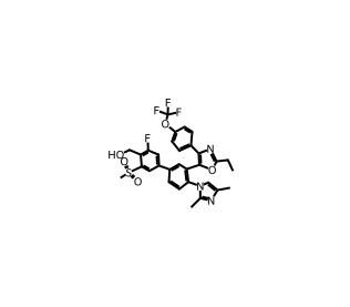 CCc1nc(-c2ccc(OC(F)(F)F)cc2)c(-c2cc(-c3cc(F)c(CO)c(S(C)(=O)=O)c3)ccc2-n2cc(C)nc2C)o1